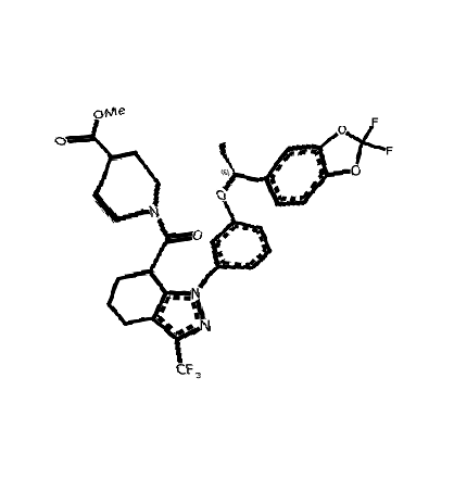 COC(=O)C1CCN(C(=O)C2CCCc3c(C(F)(F)F)nn(-c4cccc(O[C@@H](C)c5ccc6c(c5)OC(F)(F)O6)c4)c32)CC1